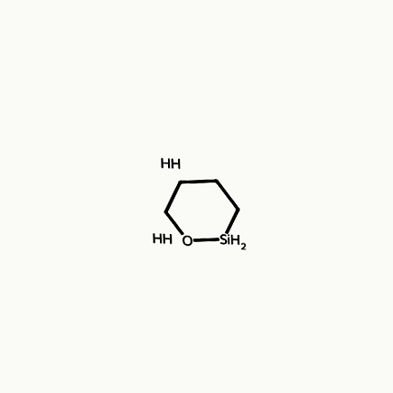 C1CC[SiH2]OC1.[HH].[HH]